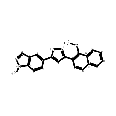 COc1c(-c2cc(-c3ccc4c(cnn4C)c3)[nH]n2)ccc2ccccc12